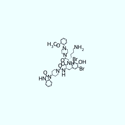 COc1ccccc1N1CCN(C(=O)[C@H](CCCCN)NC(=O)[C@@H](Cc2cc(Br)c(O)c(Br)c2)NC(=O)N2CCC(n3c(=O)[nH]c4ccccc43)CC2)CC1